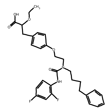 CCOC(Cc1ccc(OCCN(CCCCc2ccccc2)C(=O)Nc2ccc(F)cc2F)cc1)C(=O)O